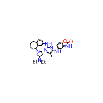 CCN(CC)C1CCN(C2CCCCc3ccc(Nc4ncc(C)c(Nc5ccc6oc(=O)[nH]c6c5)n4)cc32)C1